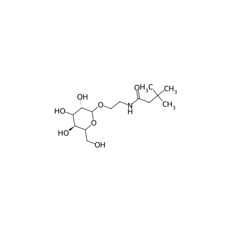 CC(C)(C)CC(=O)NCCOC1OC(CO)[C@@H](O)C(O)[C@@H]1O